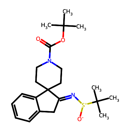 CC(C)(C)OC(=O)N1CCC2(CC1)C(=N[S+]([O-])C(C)(C)C)Cc1ccccc12